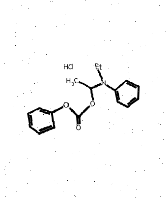 CCN(c1ccccc1)C(C)OC(=O)Oc1ccccc1.Cl